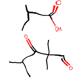 CC(C)C(=O)C(C)(C)C=O.CC(C)C(=O)O